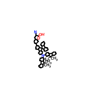 CC1(C)c2ccccc2-c2ccc(N(c3ccc4c(c3)C(C)(C)c3ccccc3-4)c3ccc4c(c3)C3(c5ccccc5-c5ccccc53)c3cc(-c5ccc(C=C(C#N)C(=O)O)cc5)ccc3-4)cc21